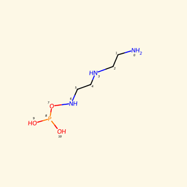 NCCNCCNOP(O)O